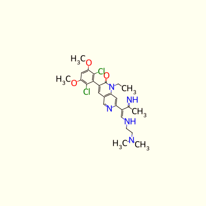 CCn1c(=O)c(-c2c(Cl)c(OC)cc(OC)c2Cl)cc2cnc(/C(=C/NCCN(C)C)C(C)=N)cc21